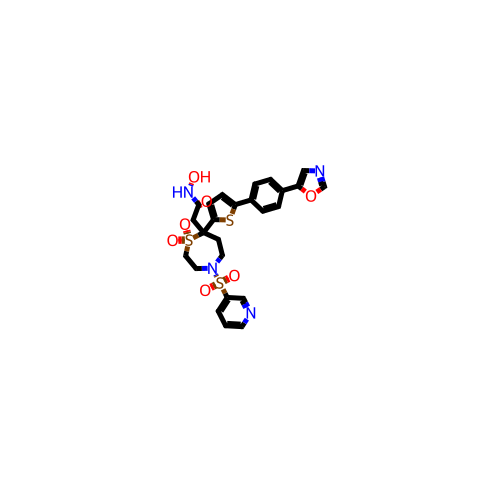 O=C(CC1(c2ccc(-c3ccc(-c4cnco4)cc3)s2)CCN(S(=O)(=O)c2cccnc2)CCS1(=O)=O)NO